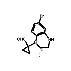 C[C@H]1CNc2cc(Br)ccc2N1C1(C=O)CC1